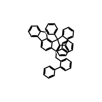 c1ccc(-c2ccccc2CN(c2ccccc2)c2ccc3c(oc4ccccc43)c2C2(c3ccccc3)c3ccccc3-c3ccccc32)cc1